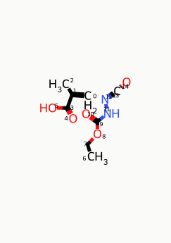 C=C(C)C(=O)O.CCOC(=O)NN=C=O